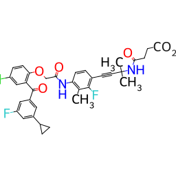 Cc1c(NC(=O)COc2ccc(Cl)cc2C(=O)c2cc(F)cc(C3CC3)c2)ccc(C#CC(C)(C)NC(=O)CCC(=O)O)c1F